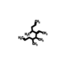 C=CCC(C)C(=CC)C(C)C(C)CC=C